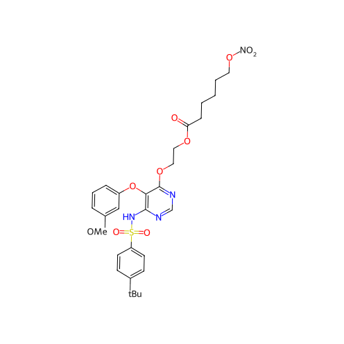 COc1cccc(Oc2c(NS(=O)(=O)c3ccc(C(C)(C)C)cc3)ncnc2OCCOC(=O)CCCCCO[N+](=O)[O-])c1